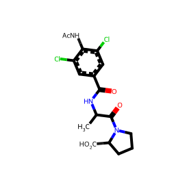 CC(=O)Nc1c(Cl)cc(C(=O)NC(C)C(=O)N2CCCC2C(=O)O)cc1Cl